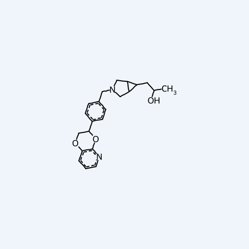 CC(O)CC1C2CN(Cc3ccc(C4COc5cccnc5O4)cc3)CC12